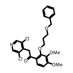 COc1ccc(C(=O)Cc2c(Cl)cncc2Cl)c(OCCCOCc2ccccc2)c1OC